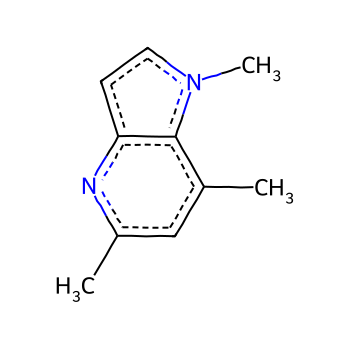 Cc1cc(C)c2c(ccn2C)n1